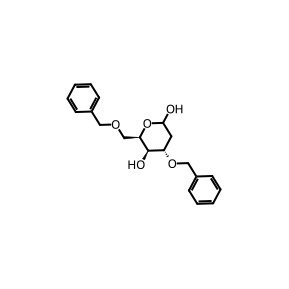 OC1C[C@H](OCc2ccccc2)[C@@H](O)[C@@H](COCc2ccccc2)O1